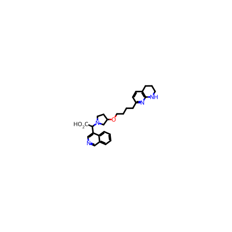 O=C(O)C(c1cncc2ccccc12)N1CCC(OCCCCc2ccc3c(n2)NCCC3)C1